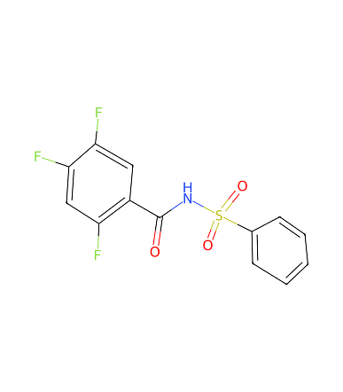 O=C(NS(=O)(=O)c1ccccc1)c1cc(F)c(F)cc1F